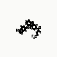 CN(CCC(F)(F)F)C(=O)[C@H]1CCc2c(sc3ncnc(Nc4ccc5[nH]ncc5c4)c23)C1